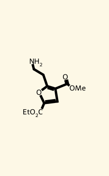 CCOC(=O)c1cc(C(=O)OC)c(CCN)o1